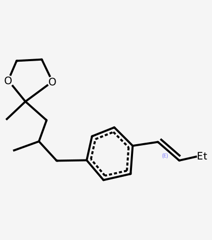 CC/C=C/c1ccc(CC(C)CC2(C)OCCO2)cc1